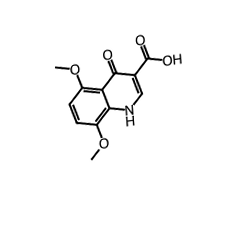 COc1ccc(OC)c2c(=O)c(C(=O)O)c[nH]c12